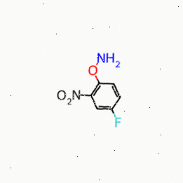 NOc1ccc(F)cc1[N+](=O)[O-]